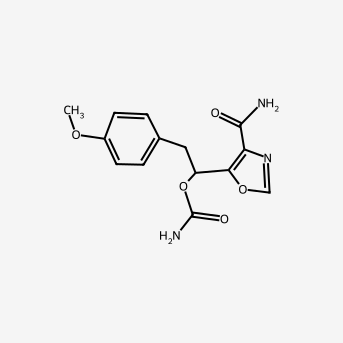 COc1ccc(CC(OC(N)=O)c2ocnc2C(N)=O)cc1